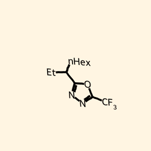 CCCCCCC(CC)c1nnc(C(F)(F)F)o1